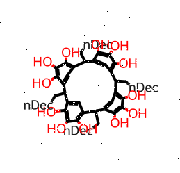 CCCCCCCCCCCC1c2cc(c(O)c(O)c2O)C(CCCCCCCCCCC)c2cc(c(O)c(O)c2O)C(CCCCCCCCCCC)c2cc(c(O)c(O)c2O)C(CCCCCCCCCCC)c2cc1c(O)c(O)c2O